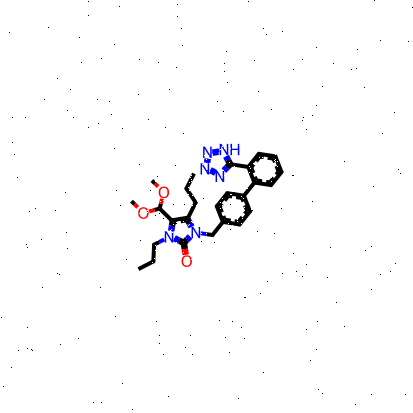 CCCc1c(C(OC)OC)n(CCC)c(=O)n1Cc1ccc(-c2ccccc2-c2nnn[nH]2)cc1